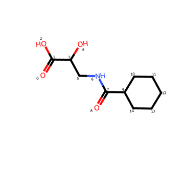 O=C(O)C(O)CNC(=O)C1CCCCC1